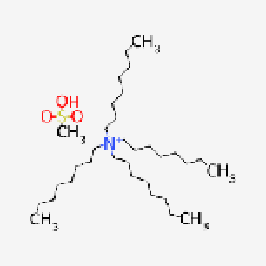 CCCCCCCC[N+](CCCCCCCC)(CCCCCCCC)CCCCCCCC.CS(=O)(=O)O